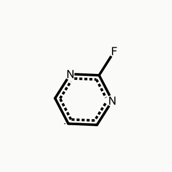 Fc1nc[c]cn1